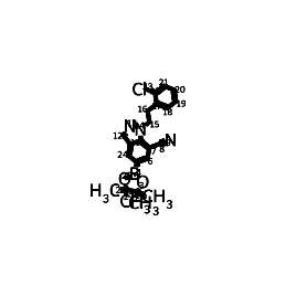 CC1(C)OB(c2cc(C#N)c3c(cnn3CCc3ccccc3Cl)c2)OC1(C)C